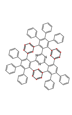 c1ccc(-c2cc(-c3ccccc3)c(-c3nc(-c4c(-c5ccccc5)c(-c5ccccc5)c(-c5ccccc5)c(-c5ccccc5)c4-c4ccccc4)nc(-c4c(-c5ccccc5)c(-c5ccccc5)c(-c5ccccc5)c(-c5ccccc5)c4-c4ccccc4)n3)c(-c3ccccc3)c2-c2ccccc2)cc1